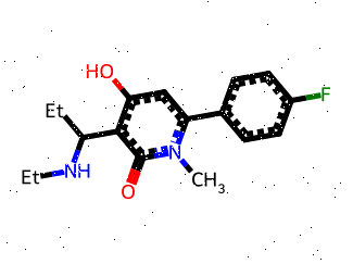 CCNC(CC)c1c(O)cc(-c2ccc(F)cc2)n(C)c1=O